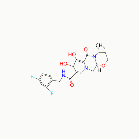 C[C@@H]1CCO[C@H]2CN3C=C(C(=O)NCc4ccc(F)cc4F)C(O)C(O)=C3C(=O)N12